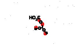 O=C(O)COc1ccc(OCC=C(c2ccc(-c3ccco3)cc2)c2ccc(-c3ccco3)cc2)cc1